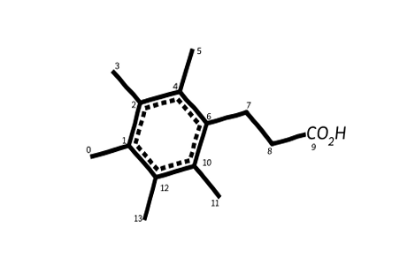 Cc1c(C)c(C)c(CCC(=O)O)c(C)c1C